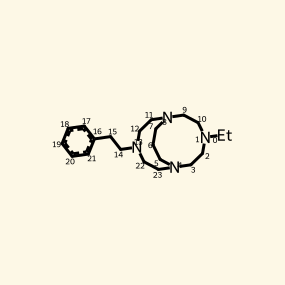 CCN1CCN2CCCN(CC1)CCN(CCc1ccccc1)CC2